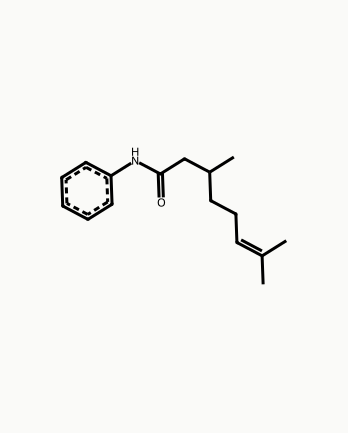 CC(C)=CCCC(C)CC(=O)Nc1ccccc1